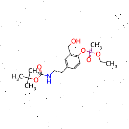 CCOP(C)(=O)Oc1ccc(CCNC(=O)OC(C)(C)C)cc1CO